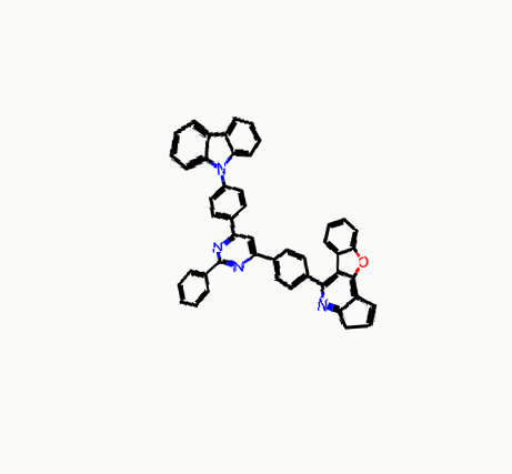 C1=Cc2c(nc(-c3ccc(-c4cc(-c5ccc(-n6c7ccccc7c7ccccc76)cc5)nc(-c5ccccc5)n4)cc3)c3c2oc2ccccc23)C1